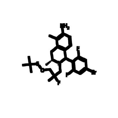 Cc1c(N)ccc2c1C[C@@H](C)N(CC(C)(F)COSC(C)(C)C)C2c1c(F)cc(Br)cc1F